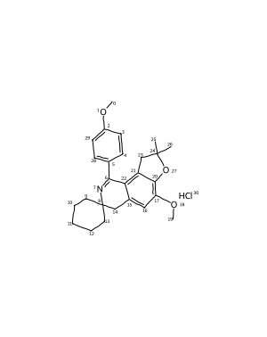 COc1ccc(C2=NC3(CCCCC3)Cc3cc(OC)c4c(c32)CC(C)(C)O4)cc1.Cl